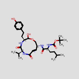 CC(C)CC[C@H](NC(=O)OC(C)(C)C)C(=O)N[C@@H]1/C=C/C(=O)N[C@@H](C(C)C)C(=O)N[C@@H](CCc2ccc(O)cc2)C(O)OC1